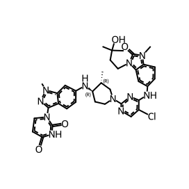 C[C@@H]1CN(c2ncc(Cl)c(Nc3ccc4c(c3)n(CCC(C)(C)O)c(=O)n4C)n2)CC[C@H]1Nc1ccc2c(-n3ccc(=O)[nH]c3=O)nn(C)c2c1